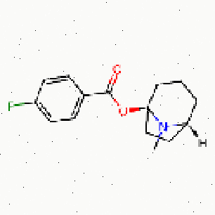 CN1[C@@H]2CCC[C@@]1(OC(=O)c1ccc(F)cc1)CC2